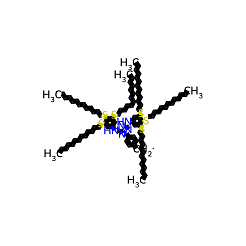 [CH2]c1ccc(-c2nc(Nc3cc(SCCCCCCCCCCCCC)c(SCCCCCCCCCCCCC)c(SCCCCCCCCCCCCC)c3)nc(Nc3cc(SCCCCCCCCCCCCC)c(SCCCCCCCCCCCCC)c(SCCCCCCCCCCCCC)c3)n2)cc1